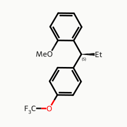 [CH2]C[C@@H](c1ccc(OC(F)(F)F)cc1)c1ccccc1OC